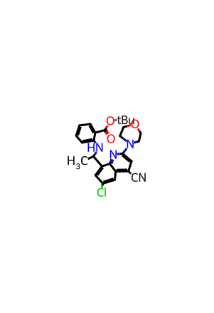 CC(Nc1ccccc1C(=O)OC(C)(C)C)c1cc(Cl)cc2c(C#N)cc(N3CCOCC3)nc12